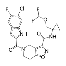 O=C(NC1(COC(F)F)CC1)c1noc2c1CN(C(=O)c1cc3cc(F)c(Cl)cc3[nH]1)CC2